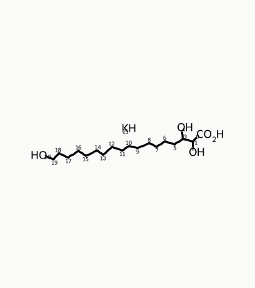 O=C(O)C(O)C(O)CCCCCCCCCCCCCCCO.[KH]